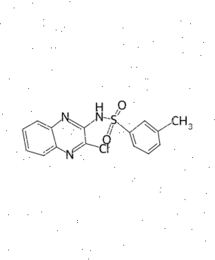 Cc1cccc(S(=O)(=O)Nc2nc3ccccc3nc2Cl)c1